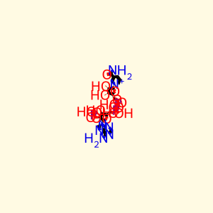 NC(=O)c1ccc[n+]([C@@H]2O[C@H](COP(=O)(O)OP(=O)(O)OC[C@H]3O[C@@H](n4cnc5c(N)ncnc54)[C@@H](OP(=O)(O)O)[C@H]3O)[C@H](O)[C@@H]2O)c1